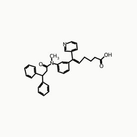 CN(C(=O)CC(c1ccccc1)c1ccccc1)c1cccc(C(=CCCCC(=O)O)c2cccnc2)c1